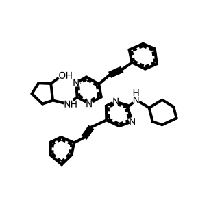 C(#Cc1cnc(NC2CCCCC2)nc1)c1ccccc1.OC1CCCC1Nc1ncc(C#Cc2ccccc2)cn1